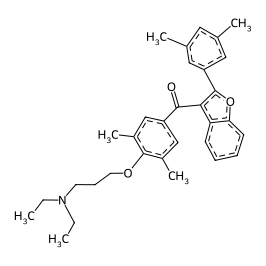 CCN(CC)CCCOc1c(C)cc(C(=O)c2c(-c3cc(C)cc(C)c3)oc3ccccc23)cc1C